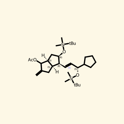 C=C1C[C@@H]2[C@H](/C=C/[C@@H](O[Si](C)(C)C(C)(C)C)C3CCCC3)[C@H](O[Si](C)(C)C(C)(C)C)C[C@@H]2C1OC(C)=O